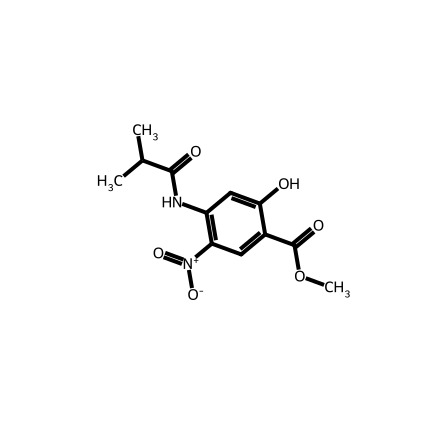 COC(=O)c1cc([N+](=O)[O-])c(NC(=O)C(C)C)cc1O